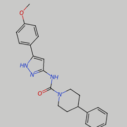 COc1ccc(-c2cc(NC(=O)N3CCC(c4ccccc4)CC3)n[nH]2)cc1